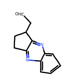 O=CCC1CCc2nc3ccccc3nc21